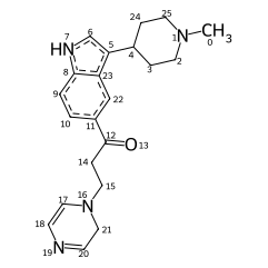 CN1CCC(c2c[nH]c3ccc(C(=O)CCN4C=CN=CC4)cc23)CC1